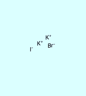 [Br-].[I-].[K+].[K+]